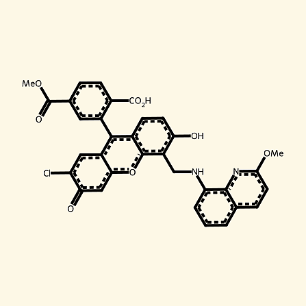 COC(=O)c1ccc(C(=O)O)c(-c2c3cc(Cl)c(=O)cc-3oc3c(CNc4cccc5ccc(OC)nc45)c(O)ccc23)c1